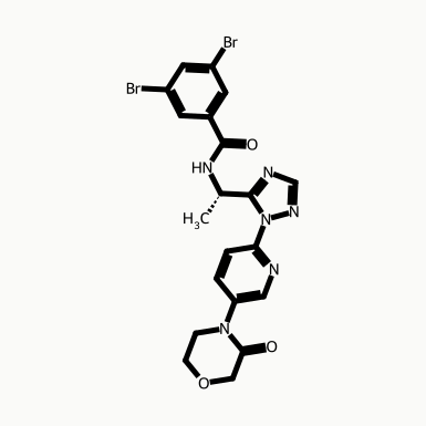 C[C@H](NC(=O)c1cc(Br)cc(Br)c1)c1ncnn1-c1ccc(N2CCOCC2=O)cn1